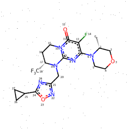 C[C@@H]1COCCN1c1nc2n(c(=O)c1F)CC[C@@H](C(F)(F)F)N2Cc1noc(C2CC2)n1